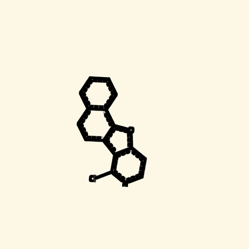 Clc1nccc2oc3c4ccccc4ccc3c12